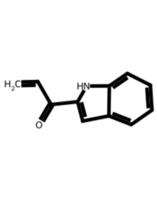 C=CC(=O)c1cc2ccccc2[nH]1